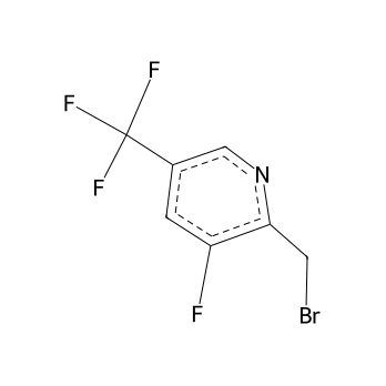 Fc1cc(C(F)(F)F)cnc1CBr